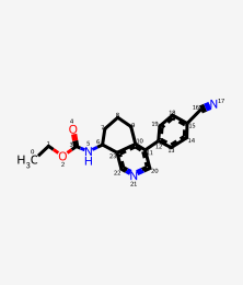 CCOC(=O)NC1CCCc2c(-c3ccc(C#N)cc3)cncc21